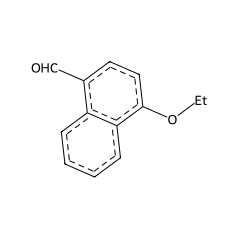 [CH2]COc1ccc(C=O)c2ccccc12